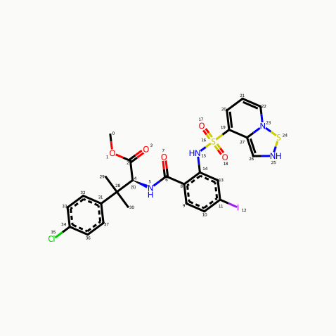 COC(=O)[C@@H](NC(=O)c1ccc(I)cc1NS(=O)(=O)C1=CC=CN2SNC=C12)C(C)(C)c1ccc(Cl)cc1